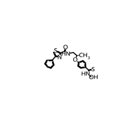 C[C@H](CNC(=O)c1nc(-c2ccccc2)cs1)Oc1ccc(C(=S)NO)cc1